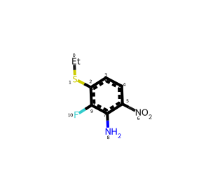 CCSc1ccc([N+](=O)[O-])c(N)c1F